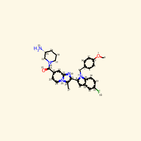 COc1ccc(Cn2c(-c3nc4cc(C(=O)N5CCC[C@@H](N)C5)ccn4c3C)cc3cc(F)ccc32)cc1